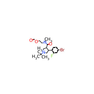 CN(CCOC=O)C(=O)C1CN(C(C)(C)C)CC1c1ccc(Br)cc1F